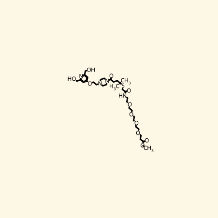 COC(=O)CCOCCOCCOCCOCCNC(=O)CSC(C)(C)CCC(=O)N1CCN(CCOc2cc(CO)nc(CO)c2)CC1